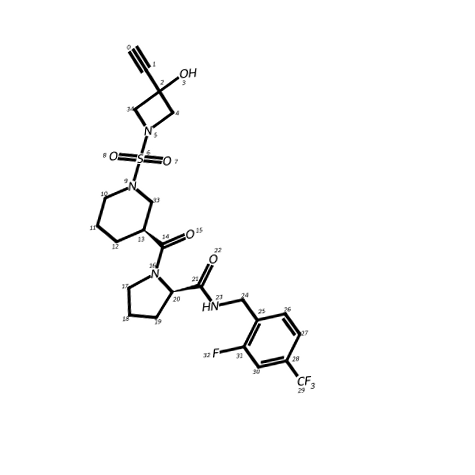 C#CC1(O)CN(S(=O)(=O)N2CCC[C@H](C(=O)N3CCC[C@@H]3C(=O)NCc3ccc(C(F)(F)F)cc3F)C2)C1